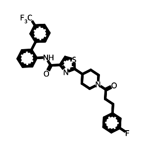 O=C(Nc1ccccc1-c1cccc(C(F)(F)F)c1)c1csc(C2CCN(C(=O)CCc3cccc(F)c3)CC2)n1